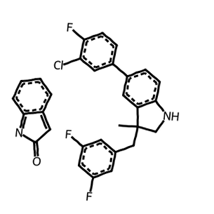 CC1(Cc2cc(F)cc(F)c2)CNc2ccc(-c3ccc(F)c(Cl)c3)cc21.O=C1C=c2ccccc2=N1